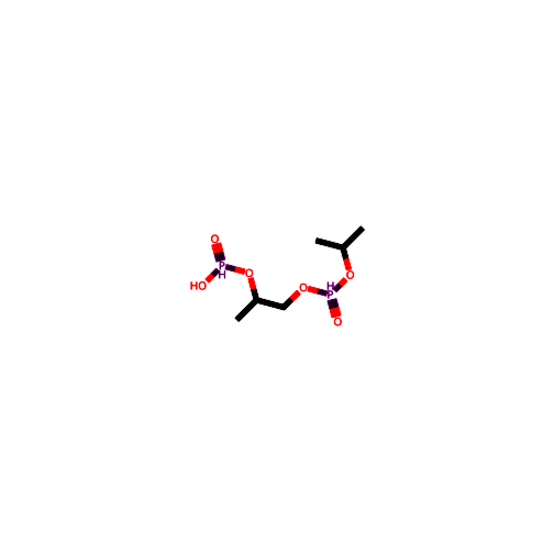 CC(C)O[PH](=O)OCC(C)O[PH](=O)O